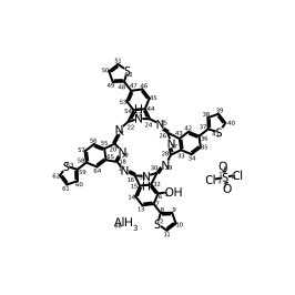 O=S(=O)(Cl)Cl.Oc1c(-c2cccs2)ccc2c3nc4nc(nc5[nH]c(nc6nc(nc([nH]3)c12)-c1ccc(-c2cccs2)cc1-6)c1ccc(-c2cccs2)cc51)-c1ccc(-c2cccs2)cc1-4.[AlH3]